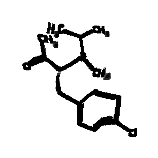 CC(=O)[C@@H](Cc1ccc(Cl)cc1)N(C)C(C)C